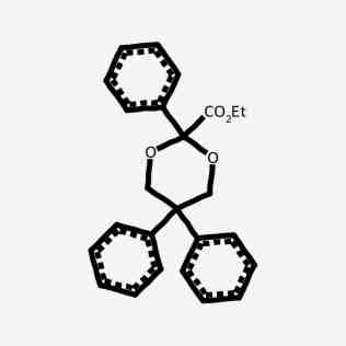 CCOC(=O)C1(c2ccccc2)OCC(c2ccccc2)(c2ccccc2)CO1